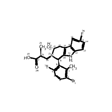 Cc1c(Br)ccc(F)c1[C@@H]1c2[nH]c3ccc(F)cc3c2C[C@@H](C)N1C[C@H](C)C(=O)O